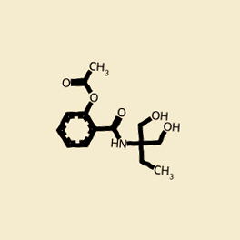 CCC(CO)(CO)NC(=O)c1ccccc1OC(C)=O